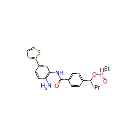 CC[PH](=O)OC(c1ccc(C(=O)Nc2cc(-c3cccs3)ccc2N)cc1)C(C)C